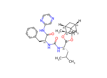 CC(C)C[C@H](NC(=O)N[C@@H](Cc1ccccc1)C(=O)Nc1cnccn1)B1OC2C[C@H]3C[C@H](C3(C)C)[C@@]2(C)O1